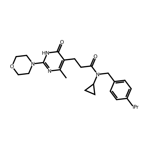 Cc1nc(N2CCOCC2)[nH]c(=O)c1CCC(=O)N(Cc1ccc(C(C)C)cc1)C1CC1